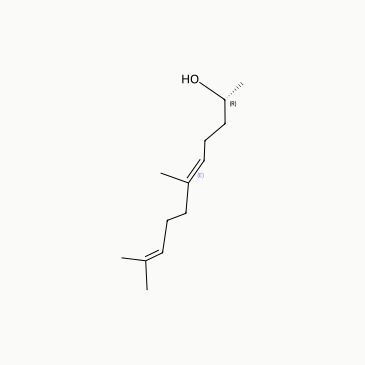 CC(C)=CCC/C(C)=C/CC[C@@H](C)O